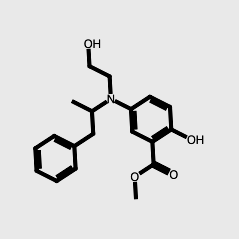 COC(=O)c1cc(N(CCO)C(C)Cc2ccccc2)ccc1O